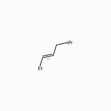 [CH2]CCC/C=C/CC